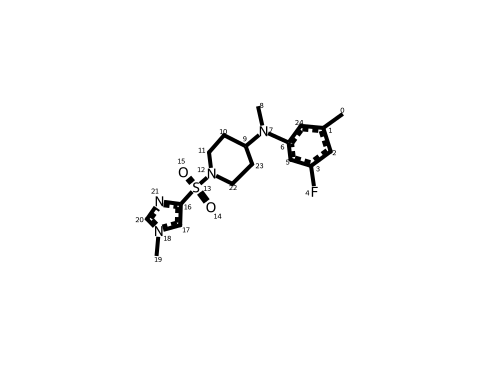 Cc1cc(F)cc(N(C)C2CCN(S(=O)(=O)c3cn(C)cn3)CC2)c1